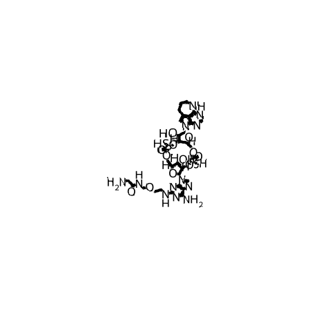 NCC(=O)NCOCCNc1nc(N)c2ncn([C@@H]3O[C@@H]4COP(=O)(S)O[C@H]5[C@@H](O)[C@H](n6cc7c8c(ncnc86)NCCC7)O[C@@H]5COP(=O)(S)O[C@@H]3[C@@H]4O)c2n1